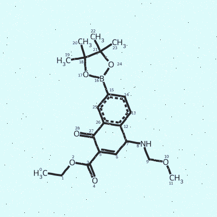 CCOC(=O)C1=CC(NCOC)c2ccc(B3OC(C)(C)C(C)(C)O3)cc2C1=O